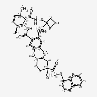 CC[C@H]1C=C[C@@H](C)[C@H](C(=O)NCC2(C)CCC2)[C@@H]1NC(=O)c1cc(O[C@H]2CC[C@@](C)(C(=O)OCc3cccc4ccccc34)CC2)c(C#N)cc1OC